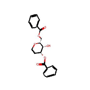 O=C(OC[C@H]1OCC[C@@H](OC(=O)c2ccccc2)[C@H]1O)c1ccccc1